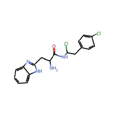 NC(Cc1nc2ccccc2[nH]1)C(=O)NC(Cl)Cc1ccc(Cl)cc1